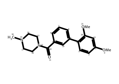 COc1ccc(-c2cccc(C(=O)N3CCN(C)CC3)c2)c(OC)c1